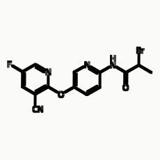 CC(Br)C(=O)Nc1ccc(Oc2ncc(F)cc2C#N)cn1